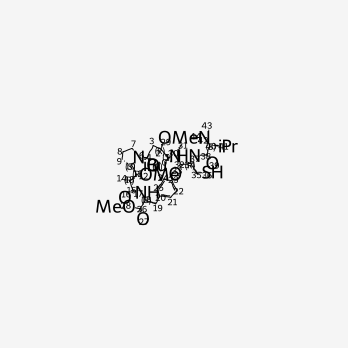 CC[C@H](C)[C@@H]([C@@H](CC(=O)N1CCC[C@H]1[C@H](OC)[C@@H](C)C(=O)N[C@@H](Cc1ccccc1)C(=O)OC)OC)N(C)C(=O)[C@H](CS)NC(=O)[C@H](C(C)C)N(C)C